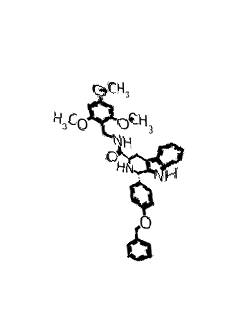 COc1cc(OC)c(CNC(=O)[C@H]2Cc3c([nH]c4ccccc34)[C@H](c3ccc(OCc4ccccc4)cc3)N2)c(OC)c1